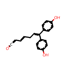 O=C=CC=CCC=C(c1ccc(O)cc1)c1ccc(O)cc1